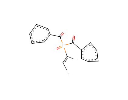 CCC=C(CC)P(=O)(C(=O)c1ccccc1)C(=O)c1ccccc1